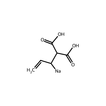 C=C[CH]([Na])C(C(=O)O)C(=O)O